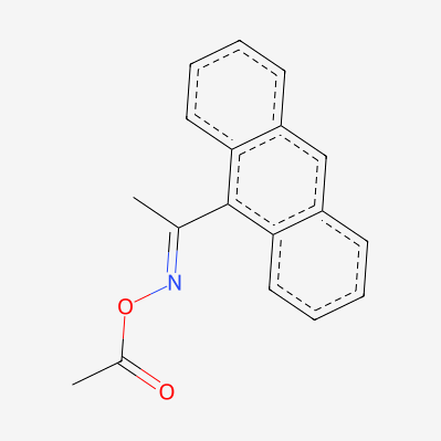 CC(=O)ON=C(C)c1c2ccccc2cc2ccccc12